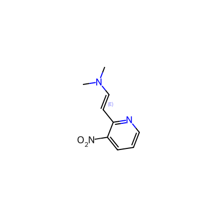 CN(C)/C=C/c1ncccc1[N+](=O)[O-]